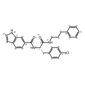 O=C(N[C@@H](Cc1ccc(Cl)cc1)C(=O)NCCCc1ccccc1)c1ccc2cn[nH]c2c1